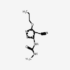 CCCOc1nsc(NC(=O)NC)c1C#N